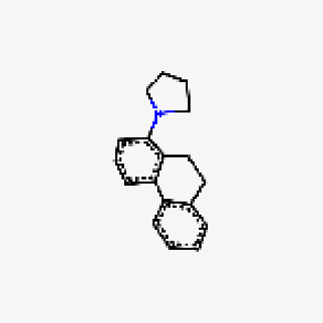 c1ccc2c(c1)CCc1c-2cccc1N1CCCC1